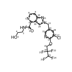 O=C(NCCO)c1nccc2nn(Cc3cnc(OCC(F)(F)C(F)F)c(Cl)c3)cc12